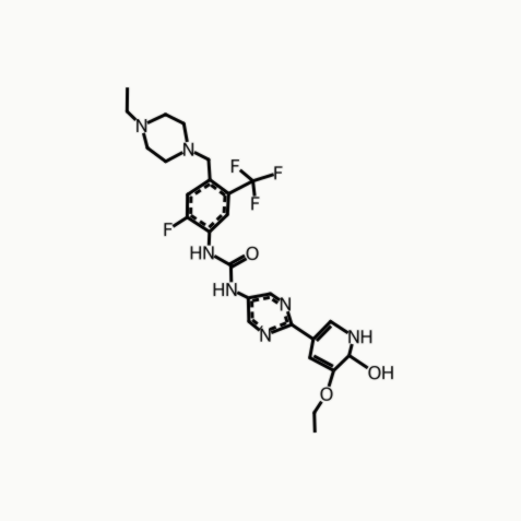 CCOC1=CC(c2ncc(NC(=O)Nc3cc(C(F)(F)F)c(CN4CCN(CC)CC4)cc3F)cn2)=CNC1O